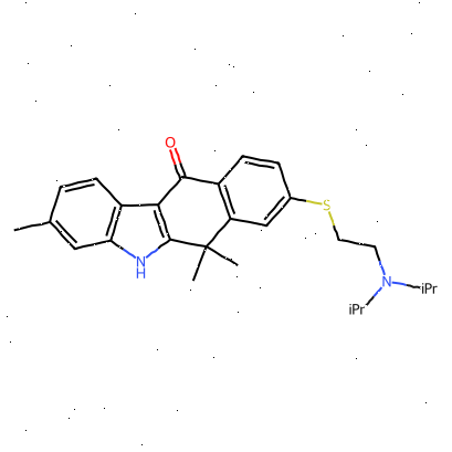 Cc1ccc2c3c([nH]c2c1)C(C)(C)c1cc(SCCN(C(C)C)C(C)C)ccc1C3=O